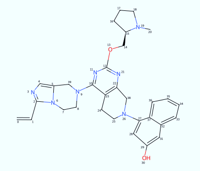 C=Cc1ncc2n1CCN(c1nc(OC[C@H]3CCCN3C)nc3c1CCN(c1cc(O)cc4ccccc14)C3)C2